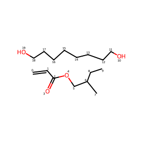 C=CC(=O)OCC(C)CC.OCCCCCCCCO